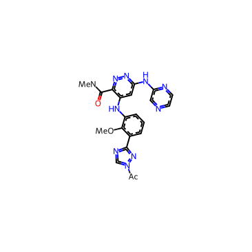 CNC(=O)c1nnc(Nc2cnccn2)cc1Nc1cccc(-c2ncn(C(C)=O)n2)c1OC